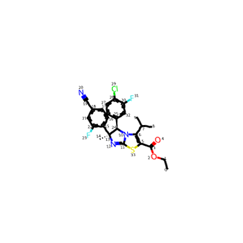 CCOC(=O)C1=C(C(C)C)N2C(=N[C@@](C)(c3ccc(C#N)cc3F)[C@H]2c2ccc(Cl)c(F)c2)S1